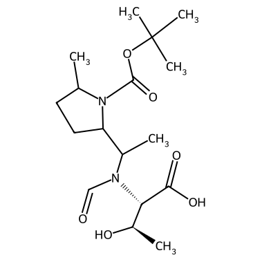 CC1CCC(C(C)N(C=O)[C@H](C(=O)O)[C@@H](C)O)N1C(=O)OC(C)(C)C